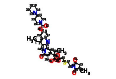 CCc1c2c(nc3ccc(OC(=O)N4CCC(N5CCCCC5)CC4)cc13)-c1cc3c(c(=O)n1C2)COC(=O)[C@@]3(CC)OC(=O)CSCCN1C(=O)CC(C)C1=O